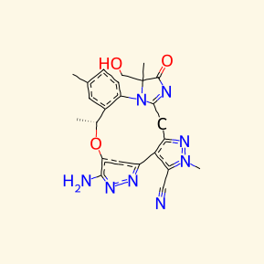 Cc1ccc2c(c1)[C@@H](C)Oc1cc(nnc1N)-c1c(nn(C)c1C#N)CC1=NC(=O)C(C)(CO)N12